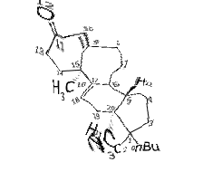 CCCCC1(C)CC[C@H]2C3CCC4=CC(=O)CC[C@]4(C)C3=CC[C@@]21C